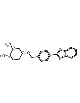 N[C@H]1C[C@H](OCc2ccc(-c3nc4ccccc4o3)cc2)CC[C@@H]1O